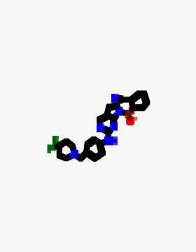 N#Cc1ccccc1[S+]([O-])n1ccc2cnc(Nc3ccc(CN4CCC(F)(F)CC4)cc3)nc21